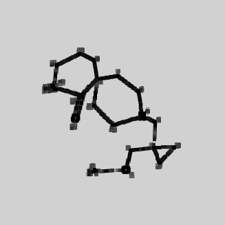 CC(C)OCC1(CN2CCC3(CCCNC3=O)CC2)CC1